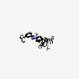 COC(=O)c1cccc(/C=C/c2ccc(N3C[C@H](CNC(C)=O)OC3=O)cc2F)c1